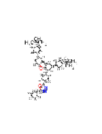 CC(C)(C)c1ccc(-c2ccc3oc4c(-c5ccc(-c6nnc(-c7ccccc7)o6)cc5)cc(-c5ccc(C(C)(C)C)cc5)cc4c3c2)cc1